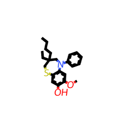 CCCCC1(CC)CSc2cc(O)c(OC)cc2N(c2ccccc2)C1